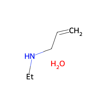 C=CCNCC.O